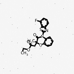 CCOC(=O)CC1(C)Oc2ccccc2N(c2nc3cccc(F)c3s2)C1=O